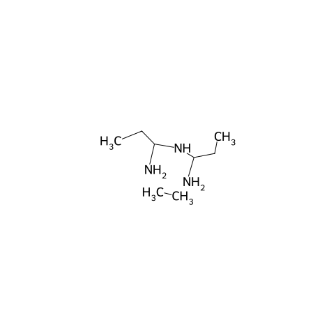 CC.CCC(N)NC(N)CC